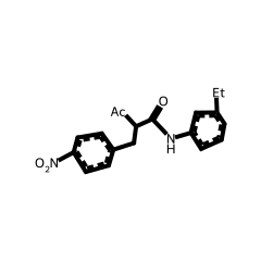 CCc1cccc(NC(=O)C(Cc2ccc([N+](=O)[O-])cc2)C(C)=O)c1